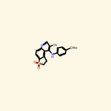 COc1ccc(Nc2c(C#N)cnc3ccc4c(c23)CCS4(=O)=O)cc1